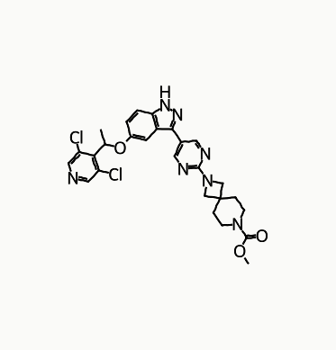 COC(=O)N1CCC2(CC1)CN(c1ncc(-c3n[nH]c4ccc(OC(C)c5c(Cl)cncc5Cl)cc34)cn1)C2